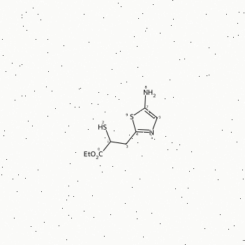 CCOC(=O)C(S)Cc1ncc(N)s1